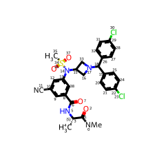 CNC(=O)[C@H](C)NC(=O)c1cc(C#N)cc(N(C2CN(C(c3ccc(Cl)cc3)c3ccc(Cl)cc3)C2)S(C)(=O)=O)c1